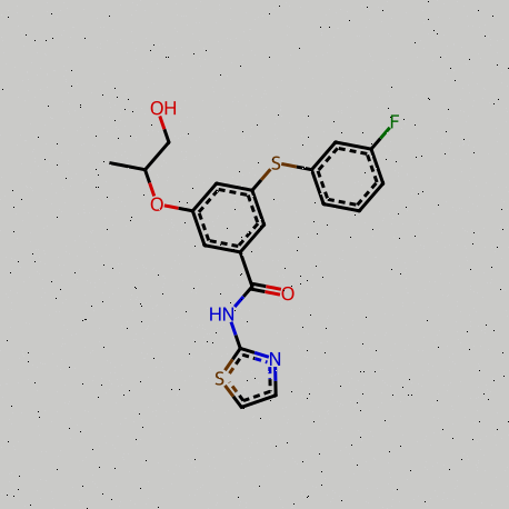 CC(CO)Oc1cc(Sc2cccc(F)c2)cc(C(=O)Nc2nccs2)c1